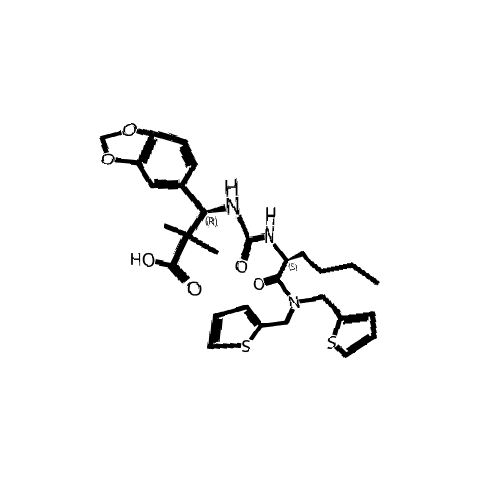 CCCC[C@H](NC(=O)N[C@H](c1ccc2c(c1)OCO2)C(C)(C)C(=O)O)C(=O)N(Cc1cccs1)Cc1cccs1